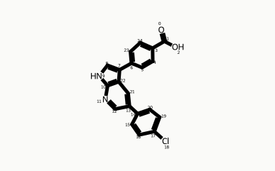 O=C(O)c1ccc(-c2c[nH]c3ncc(-c4ccc(Cl)cc4)cc23)cc1